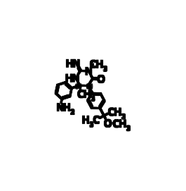 COC(C)(C)c1ccc([C@@H]2C(=O)N(C)C(=N)N[C@]2(C)c2cccc(N)c2)cc1